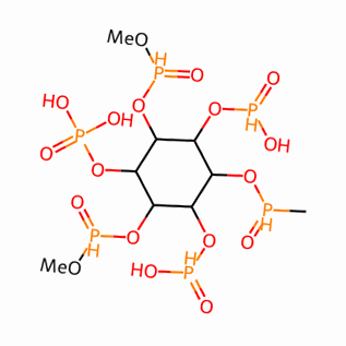 CO[PH](=O)OC1C(O[PH](=O)O)C(O[PH](C)=O)C(O[PH](=O)O)C(O[PH](=O)OC)C1OP(=O)(O)O